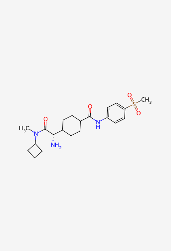 CN(C(=O)[C@@H](N)C1CCC(C(=O)Nc2ccc(S(C)(=O)=O)cc2)CC1)C1CCC1